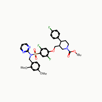 COc1ccc(CN(c2ncccn2)S(=O)(=O)c2cc(F)c(OCC3CN(C(=O)OC(C)(C)C)CCC3c3ccc(F)cc3)cc2F)c(OC)c1